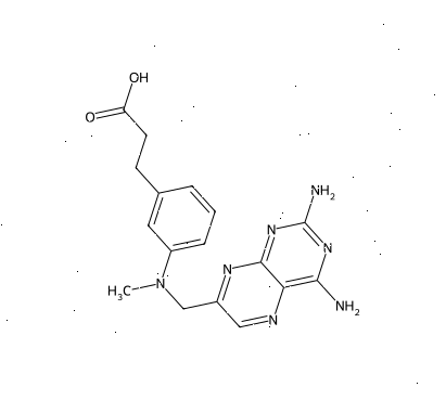 CN(Cc1cnc2c(N)nc(N)nc2n1)c1cccc(CCC(=O)O)c1